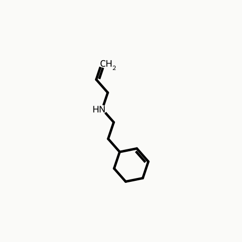 C=CCNCCC1C=CCCC1